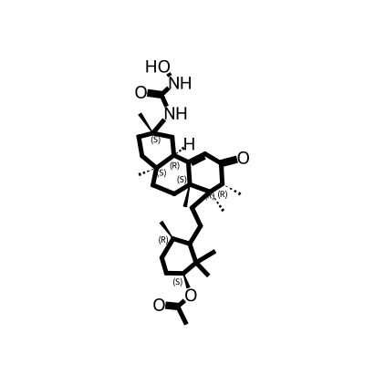 CC(=O)O[C@H]1CC[C@@H](C)C(CC[C@]2(C)[C@@H](C)C(=O)C=C3[C@@H]4C[C@@](C)(NC(=O)NO)CC[C@]4(C)CC[C@]32C)C1(C)C